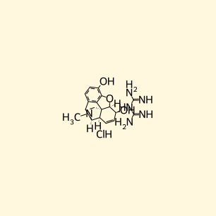 CN1CC[C@]23c4c5ccc(O)c4O[C@H]2[C@@H](O)C=C[C@H]3[C@H]1C5.Cl.N=C(N)NC(=N)N